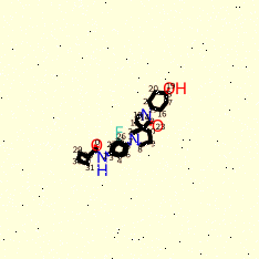 O=C(Nc1ccc(N2CCCC3(CCN([C@H]4CC[C@H](O)CC4)C3=O)C2)c(F)c1)C1CCC1